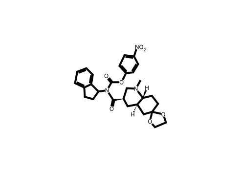 CN1C[C@H](C(=O)N(C(=O)Oc2ccc([N+](=O)[O-])cc2)C2CCc3ccccc32)C[C@@H]2CC3(CC[C@H]21)OCCO3